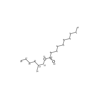 CCCCCCCCCC(=O)OCC(C)CCCC